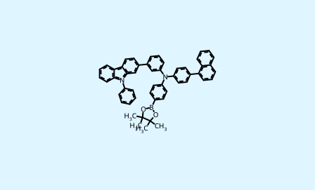 CC1(C)OB(c2ccc(N(c3ccc(-c4cccc5ccccc45)cc3)c3cccc(-c4ccc5c6ccccc6n(-c6ccccc6)c5c4)c3)cc2)OC1(C)C